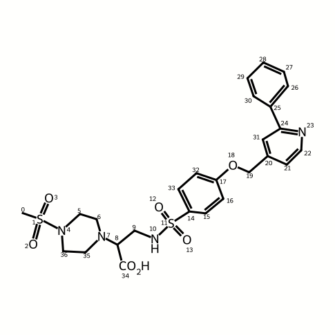 CS(=O)(=O)N1CCN(C(CNS(=O)(=O)c2ccc(OCc3ccnc(-c4ccccc4)c3)cc2)C(=O)O)CC1